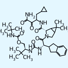 CC(C)(C)NC(=O)OC[C@@H](NC(=O)N[C@H](C(=O)N1CC2C([C@H]1C(=O)NC(CC1CC1)C(=O)C(N)=O)C2(C)C)C1Cc2ccccc2C1)C(C)(C)C